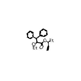 C#CC(CC)OC(=O)C(OCC)C(c1ccccc1)c1ccccc1